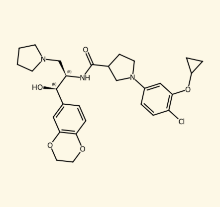 O=C(N[C@H](CN1CCCC1)[C@H](O)c1ccc2c(c1)OCCO2)C1CCN(c2ccc(Cl)c(OC3CC3)c2)C1